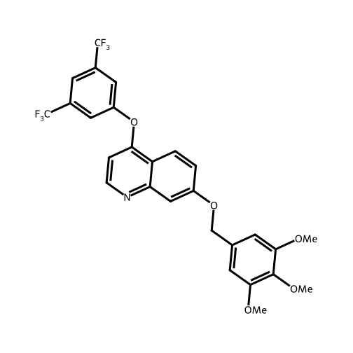 COc1cc(COc2ccc3c(Oc4cc(C(F)(F)F)cc(C(F)(F)F)c4)ccnc3c2)cc(OC)c1OC